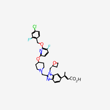 C/C(=C\C(=O)O)c1ccc2nc(CN3CCC(Oc4ccc(F)c(OCc5ccc(Cl)cc5F)n4)CC3)n(C[C@@H]3CCO3)c2c1